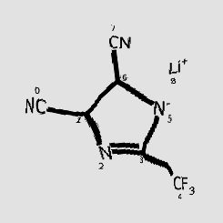 N#CC1N=C(C(F)(F)F)[N-]C1C#N.[Li+]